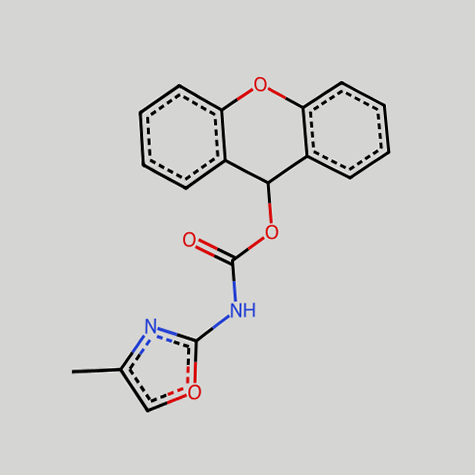 Cc1coc(NC(=O)OC2c3ccccc3Oc3ccccc32)n1